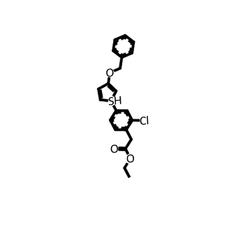 CCOC(=O)Cc1ccc([SH]2C=CC(OCc3ccccc3)=C2)cc1Cl